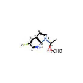 CC(OC=O)n1ccc2cc(F)cnc21